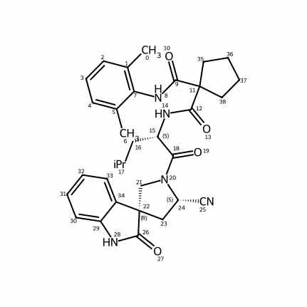 Cc1cccc(C)c1NC(=O)C1(C(=O)N[C@@H](CC(C)C)C(=O)N2C[C@]3(C[C@H]2C#N)C(=O)Nc2ccccc23)CCCC1